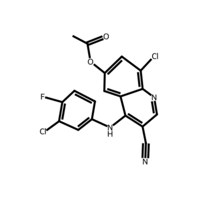 CC(=O)Oc1cc(Cl)c2ncc(C#N)c(Nc3ccc(F)c(Cl)c3)c2c1